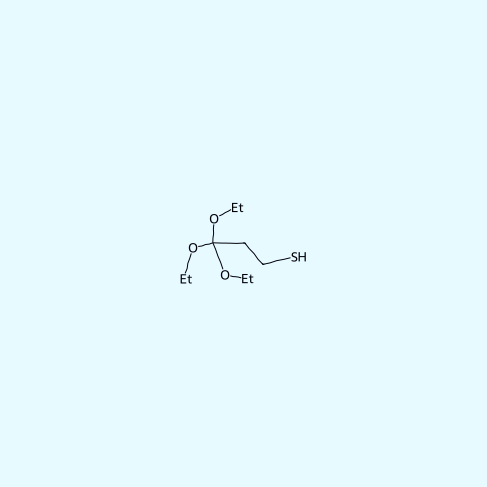 CCOC(CCS)(OCC)OCC